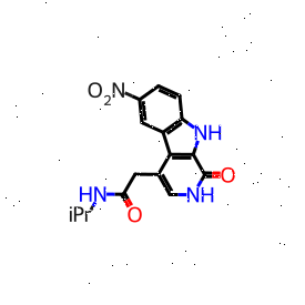 CC(C)NC(=O)Cc1c[nH]c(=O)c2[nH]c3ccc([N+](=O)[O-])cc3c12